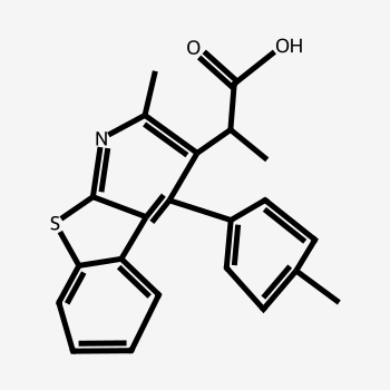 Cc1ccc(-c2c(C(C)C(=O)O)c(C)nc3sc4ccccc4c23)cc1